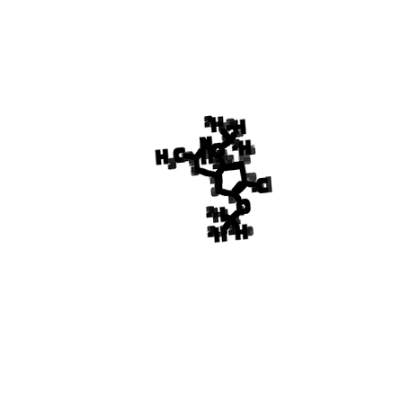 [2H]C([2H])([2H])Oc1cc(CC(C)N)c(OC([2H])([2H])[2H])cc1Cl